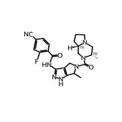 CC1c2[nH]nc(NC(=O)c3ccc(C#N)cc3F)c2CN1C(=O)N1C[C@@H]2CCCN2C[C@@H]1C